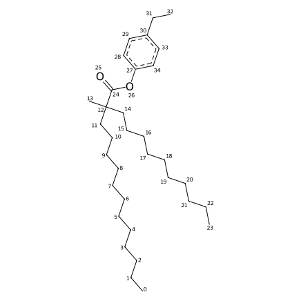 CCCCCCCCCCCCC(C)(CCCCCCCCCC)C(=O)Oc1ccc(CC)cc1